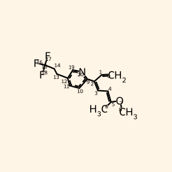 C=C/C(=C\C=C(/C)OC)c1ccc(CCC(F)(F)F)cn1